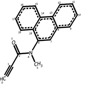 C#CC(=O)N(C)c1cc2ccccc2c2ccccc12